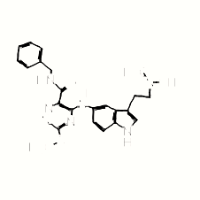 CSc1nnc(C(=O)NCc2ccccc2)c(Nc2ccc3[nH]cc(CCN(C)C)c3c2)n1